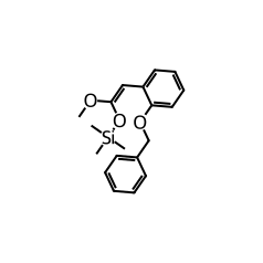 CO/C(=C/c1ccccc1OCc1ccccc1)O[Si](C)(C)C